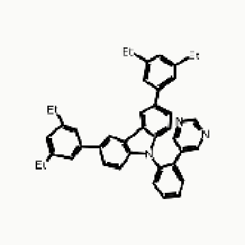 CCc1cc(CC)cc(-c2ccc3c(c2)c2cc(-c4cc(CC)cc(CC)c4)ccc2n3-c2ccccc2-c2cncnc2)c1